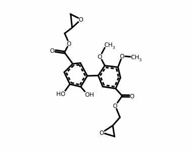 COc1cc(C(=O)OCC2CO2)cc(-c2cc(C(=O)OCC3CO3)cc(O)c2O)c1OC